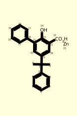 CC(C)(c1ccccc1)c1cc(C(=O)O)c(O)c(-c2ccccc2)c1.[Zn]